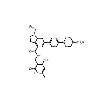 CCCc1cc(C)[nH]c(=O)c1CNC(=O)c1cc(-c2ccc(N3CCN(C(=O)O)CC3)nc2)cc2c1CCN2CC(C)C